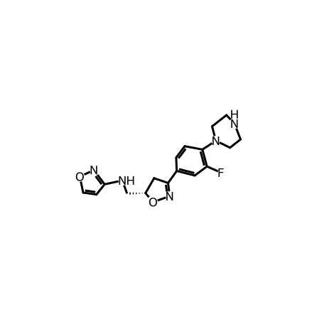 Fc1cc(C2=NO[C@H](CNc3ccon3)C2)ccc1N1CCNCC1